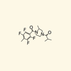 Cc1c(F)c(F)c(C(=O)N2CCN(C(=O)C(C)C)CC2C)c(F)c1F